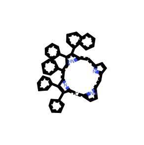 C1=Cc2cc3[nH]c(c(-c4ccccc4)c4nc(cc5ccc(cc1n2)[nH]5)C(c1ccccc1)=C4c1ccccc1)c(-c1ccccc1)c3-c1cccc2ccccc12